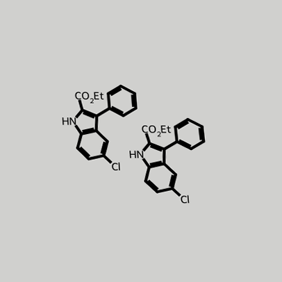 CCOC(=O)c1[nH]c2ccc(Cl)cc2c1-c1ccccc1.CCOC(=O)c1[nH]c2ccc(Cl)cc2c1-c1ccccc1